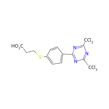 O=C(O)CCSc1ccc(-c2nc(C(Cl)(Cl)Cl)nc(C(Cl)(Cl)Cl)n2)cc1